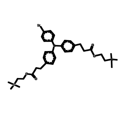 C[Si](C)(C)CCOC(=O)CCc1ccc(N(c2ccc(Br)cc2)c2ccc(CCC(=O)OCC[Si](C)(C)C)cc2)cc1